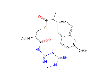 COc1ccc2cc(C(C)C(=O)SCC(NC(C)=O)C(=O)NC(=N)NC(=N)N(C)C)ccc2c1